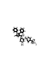 Cc1cc(C(=O)N2CCNC[C@H]2CN2CCC(C(N)=O)CC2)c(-c2ccccc2)n1-c1ccccc1